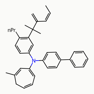 C=C(/C=C\C)C(C)(C)c1cc(N(C2=CC=CCC(C)=C2)c2ccc(-c3ccccc3)cc2)ccc1CCC